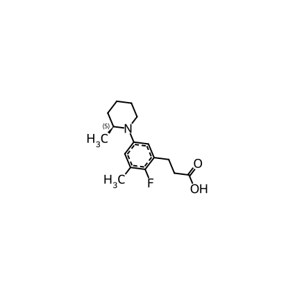 Cc1cc(N2CCCC[C@@H]2C)cc(CCC(=O)O)c1F